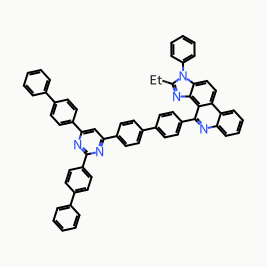 CCc1nc2c3c(-c4ccc(-c5ccc(-c6cc(-c7ccc(-c8ccccc8)cc7)nc(-c7ccc(-c8ccccc8)cc7)n6)cc5)cc4)nc4ccccc4c3ccc2n1-c1ccccc1